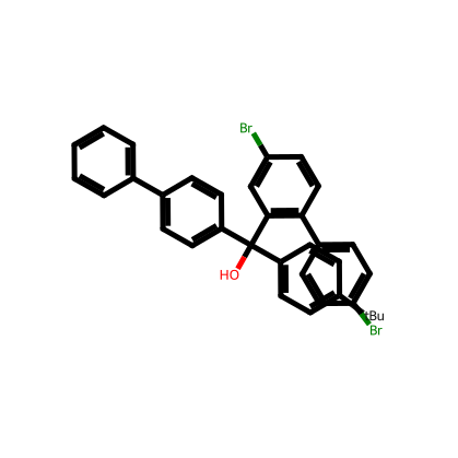 CC(C)(C)c1ccc(C(O)(c2ccc(-c3ccccc3)cc2)c2cc(Br)ccc2-c2ccc(Br)cc2)cc1